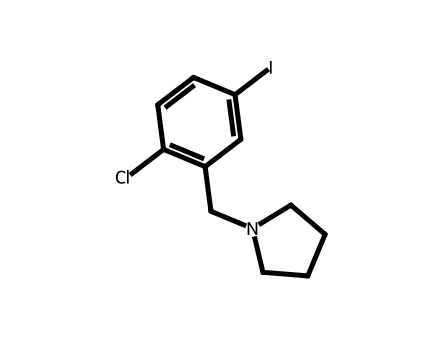 Clc1ccc(I)cc1CN1CCCC1